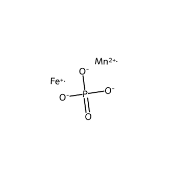 O=P([O-])([O-])[O-].[Fe+].[Mn+2]